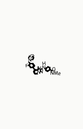 CNC(=O)c1ccc(Nc2nc3c(-c4ccc(CN5CCOCC5)c(F)c4)cccn3n2)cc1